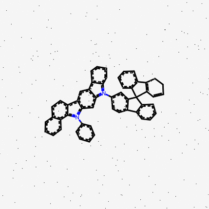 C1=CC2=C(CC1)c1ccccc1C21c2ccccc2-c2ccc(-n3c4ccccc4c4cc5c6ccc7ccccc7c6n(-c6ccccc6)c5cc43)cc21